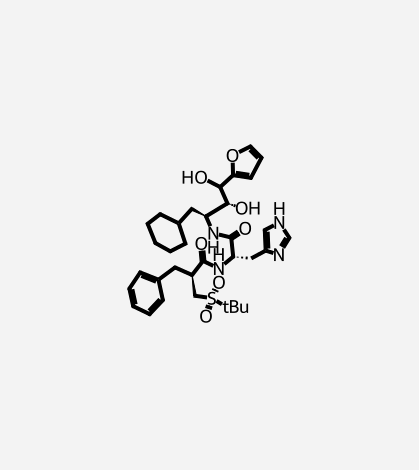 CC(C)(C)S(=O)(=O)C[C@@H](Cc1ccccc1)C(=O)N[C@@H](Cc1c[nH]cn1)C(=O)N[C@@H](CC1CCCCC1)[C@@H](O)C(O)c1ccco1